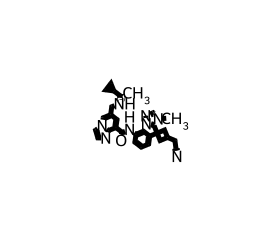 C[C@H](NCc1cc(C(=O)Nc2cccc(C3(c4nncn4C)CC(CC#N)C3)c2)c2nccn2c1)C1CC1